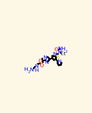 CCN(C(N)=O)c1nc2cc(-c3cnc(C(C)(C)OC(=O)CNCCN)nc3)cc(-c3ccccn3)c2s1